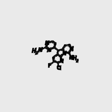 Nc1nccc(-c2c3cc(F)c(Cl)nc3n3c(N)nccc23)n1